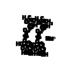 CN(C)C(=O)[C@H]1C[C@@H](CC(=O)N2CC(Oc3ccc4c(c3C(=O)O)O[B-](O)(O)CC4)C2)CN1.CN(C)C(=O)[C@H]1C[C@@H](CC(=O)N2CC(Oc3ccc4c(c3C(=O)O)O[B-](O)(O)CC4)C2)CN1.[Na+].[Na+]